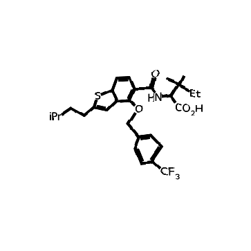 CCC(C)(C)C(NC(=O)C1=C(OCc2ccc(C(F)(F)F)cc2)C2C=C(CCC(C)C)SC2C=C1)C(=O)O